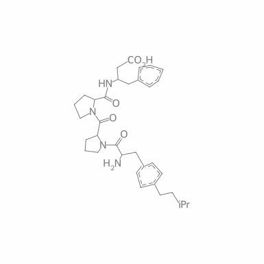 CC(C)CCc1ccc(CC(N)C(=O)N2CCCC2C(=O)N2CCCC2C(=O)NC(CC(=O)O)Cc2ccccc2)cc1